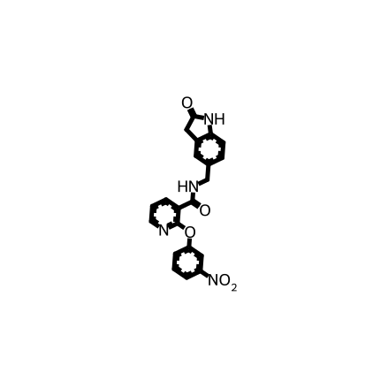 O=C1Cc2cc(CNC(=O)c3cccnc3Oc3cccc([N+](=O)[O-])c3)ccc2N1